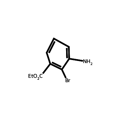 CCOC(=O)c1cccc(N)c1Br